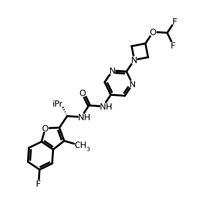 Cc1c([C@@H](NC(=O)Nc2cnc(N3CC(OC(F)F)C3)nc2)C(C)C)oc2ccc(F)cc12